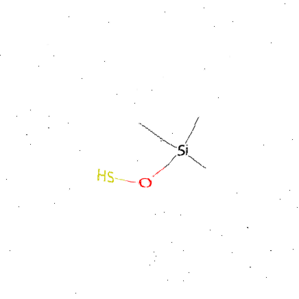 C[Si](C)(C)OS